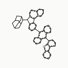 c1ccc2c3c(ccc2c1)C(C1C2CC4CC(C2)CC1C4)c1ccc(-c2c4ccccc4c(-c4cccc5c4oc4ccccc45)c4ccccc24)cc1-3